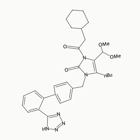 CCCCc1c(C(OC)OC)n(C(=O)CC2CCCCC2)c(=O)n1Cc1ccc(-c2ccccc2-c2nnn[nH]2)cc1